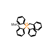 COc1ccccc1[PH](Cc1ccccc1)(c1ccccc1)c1ccccc1